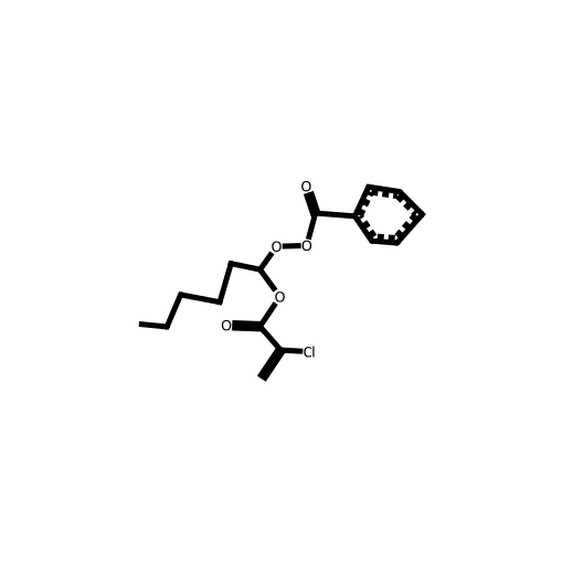 C=C(Cl)C(=O)OC(CCCCC)OOC(=O)c1ccccc1